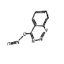 O=NOc1nnnc2ccccc12